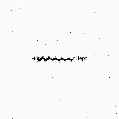 CCCCCCCCCCCCC=CC=CC=CO